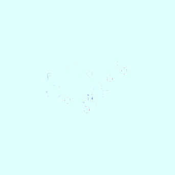 CC(=O)COCC1(C)CC(C)N2C(=O)COc3cccc(F)c3C3CCC(CC3)OCC21